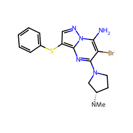 CN[C@H]1CCN(c2nc3c(Sc4ccccc4)cnn3c(N)c2Br)C1